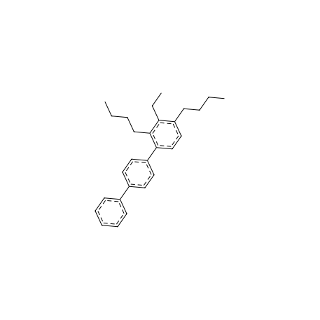 CCCCc1ccc(-c2ccc(-c3ccccc3)cc2)c(CCCC)c1CC